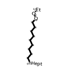 CCCCCCCCCCCCCCCCOOCC